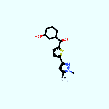 Cn1nc(-c2ccc(C(=O)C3CCCC(O)C3)s2)cc1C(F)(F)F